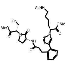 COC(=O)[C@H](CC(C)C)N1CC[C@@H](NC(=O)CCc2ccccc2-c2cn([C@@H](CCCCNC(C)=O)C(=O)OC)nn2)C1=O